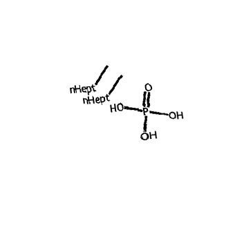 CCCCCCCC.CCCCCCCC.O=P(O)(O)O